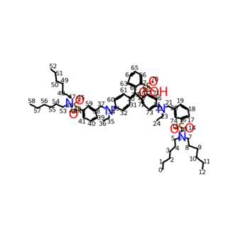 CCCCCCN(CCCCCC)S(=O)(=O)c1cccc(CN(CC)c2ccc(C(=C3C=CC(=[N+](CC)Cc4cccc(S(=O)(=O)N(CCCCCC)CCCCCC)c4)C=C3)c3ccccc3S(=O)(=O)O)cc2)c1